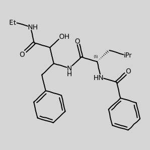 CCNC(=O)C(O)C(Cc1ccccc1)NC(=O)[C@H](CC(C)C)NC(=O)c1ccccc1